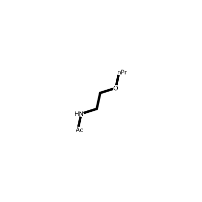 [CH2]CCOCCNC(C)=O